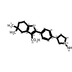 CC1(C)CCc2sc(-c3ccc([C@H]4CCN(N)C4)cc3)c(C(=O)O)c2C1